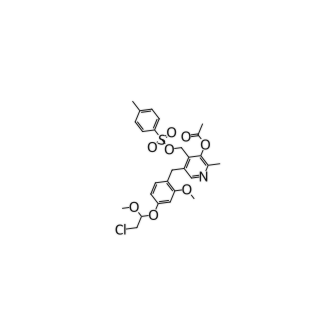 COc1cc(OC(CCl)OC)ccc1Cc1cnc(C)c(OC(C)=O)c1COS(=O)(=O)c1ccc(C)cc1